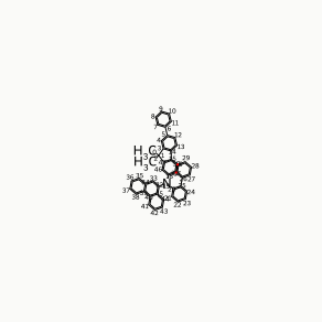 CC1(C)c2cc(-c3ccccc3)ccc2-c2ccc(N(c3ccccc3-c3ccccc3)c3cc4ccccc4c4ccccc34)cc21